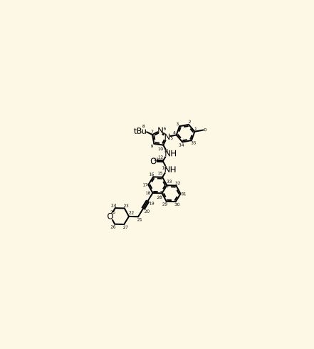 Cc1ccc(-n2nc(C(C)(C)C)cc2NC(=O)Nc2ccc(C#CCC3CCOCC3)c3ccccc23)cc1